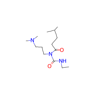 CCNC(=O)N(CCCN(C)C)C(=O)CCC(C)C